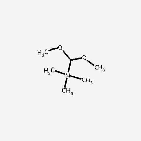 COC(OC)[Si](C)(C)C